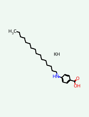 CCCCCCCCCCCCCCCCNc1ccc(C(=O)O)cc1.[KH]